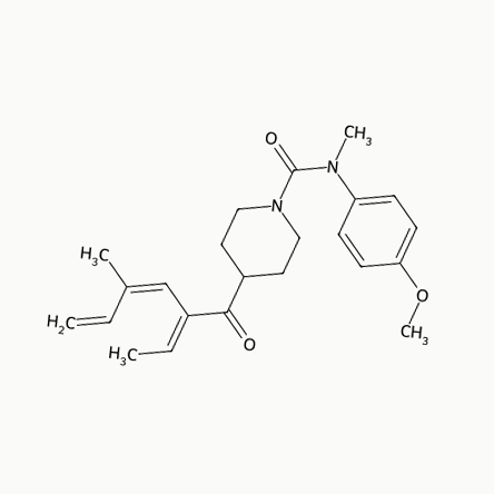 C=C/C(C)=C\C(=C/C)C(=O)C1CCN(C(=O)N(C)c2ccc(OC)cc2)CC1